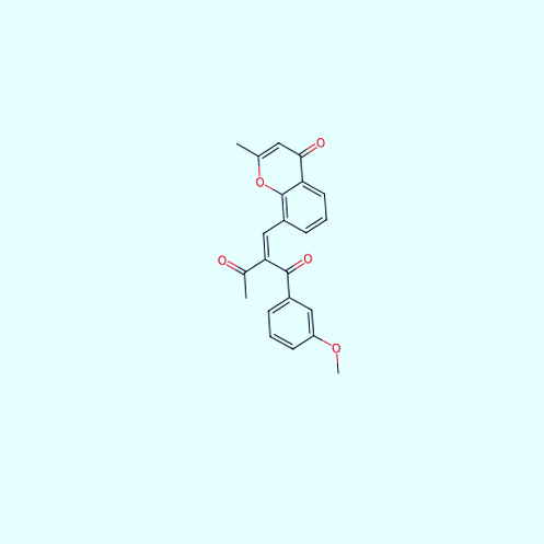 COc1cccc(C(=O)C(=Cc2cccc3c(=O)cc(C)oc23)C(C)=O)c1